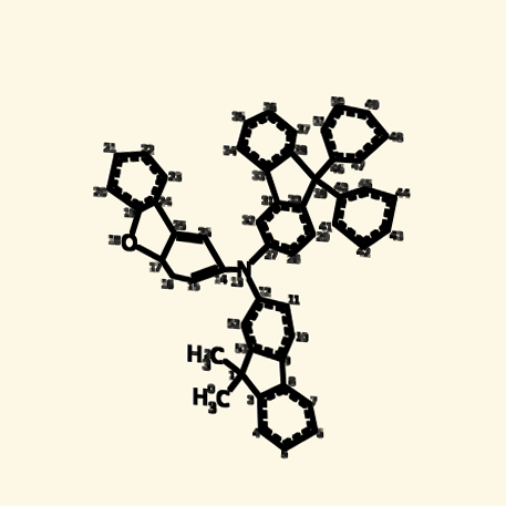 CC1(C)c2ccccc2-c2ccc(N(C3=CCC4Oc5ccccc5C4=C3)c3ccc4c(c3)-c3ccccc3C4(c3ccccc3)c3ccccc3)cc21